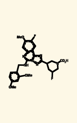 COc1ccc(CNc2nc3cc(OC)c(F)cc3c3nc(C4CC(F)CN(C(=O)O)C4)nn23)c(OC)c1